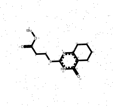 CC(C)(C)OC(=O)CCSc1nc2c(c(=O)[nH]1)CCCC2